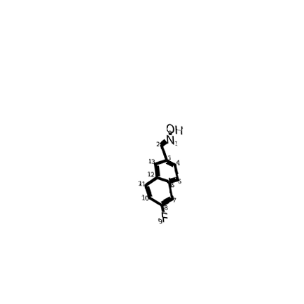 ON=Cc1ccc2cc(F)ccc2c1